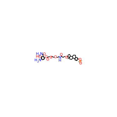 CC12CCC3c4ccc(OP(C)(C)=O)cc4CCC3C1CCC2OCCC(=O)NCCOCCOCC(=O)Oc1ccc(N)c(O)c1C(N)=O